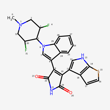 CN1CC(F)C(n2cc(C3=C(c4c[nH]c5sccc45)C(=O)NC3=O)c3ccccc32)C(F)C1